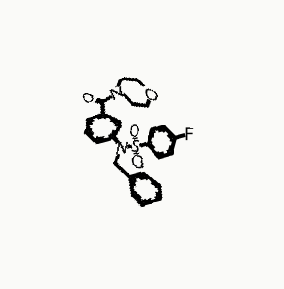 O=C(c1cccc(N(Cc2ccccc2)S(=O)(=O)c2ccc(F)cc2)c1)N1CCOCC1